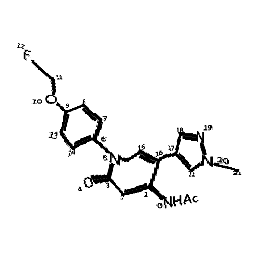 CC(=O)Nc1cc(=O)n(-c2ccc(OCF)cc2)cc1-c1cnn(C)c1